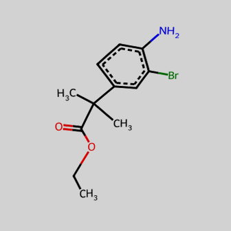 CCOC(=O)C(C)(C)c1ccc(N)c(Br)c1